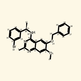 COc1cc2nc(C)nc(N[C@H](C)c3cccc(Br)c3)c2cc1OCc1ccccc1